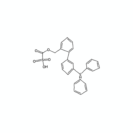 O=C(OCc1ccccc1-c1cccc([SH](c2ccccc2)c2ccccc2)c1)S(=O)(=O)O